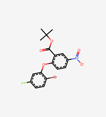 CC(C)(C)OC(=O)c1cc([N+](=O)[O-])ccc1Oc1cc(F)ccc1Br